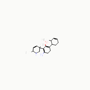 CC1C=CC(C)(C2=C(N)CCC(C3CCC=CC3C)=C2O)CC1